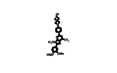 COc1ccc(-c2nc3c(C)cc(-c4ccc(N5CC6(C5)CN(C(C)C)C6)cc4)nc3n2C)cc1OC